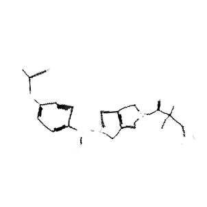 CC(C)(CO)C(=O)N1CC2=C(C1)CN([S+]([O-])c1ccc(OC(F)F)cc1)C2